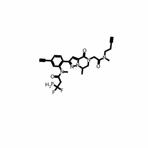 C#CCCN(C)C(=O)CN1CC(C)n2nc(-c3ccc(C#C)cc3N(C)C(=O)CC(F)(F)P)cc2C1=O